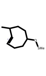 CSOC1CC/C=C/C(C)CC1